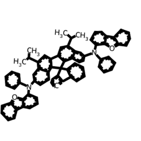 CC(C)c1cc2c(c3ccc(N(c4ccccc4)c4cccc5c4oc4ccccc45)cc13)C1(c3ccccc3-c3ccccc31)c1c-2cc(C(C)C)c2cc(N(c3ccccc3)c3cccc4c3oc3ccccc34)ccc12